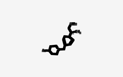 COC[C@@H](C)C1C=CC(CN2CCC(C(C)=O)CC2)=CC1